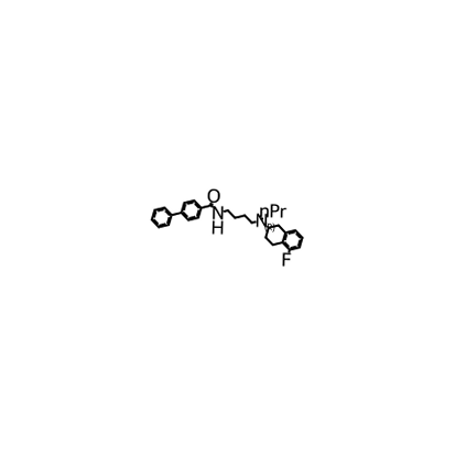 CCCN(CCCCNC(=O)c1ccc(-c2ccccc2)cc1)[C@@H]1CCc2c(F)cccc2C1